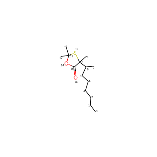 CCCCCCC(C)C1(C)SC(C)(C)OC1=O